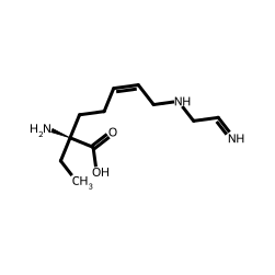 CC[C@](N)(CC/C=C\CNCC=N)C(=O)O